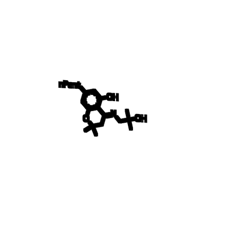 CCCCCc1cc(O)c2c(c1)OC(C)(C)CC2=NCC(C)(C)O